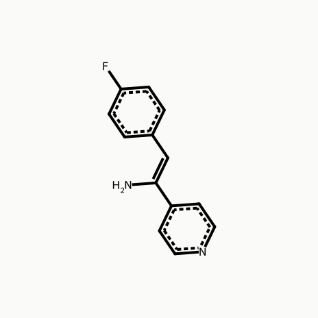 NC(=Cc1ccc(F)cc1)c1ccncc1